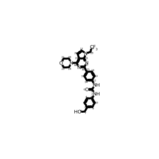 O=C(Nc1ccc(CO)cc1)Nc1ccc(-c2nc(N3CCOCC3)c3ccn(CC(F)(F)F)c3n2)cc1